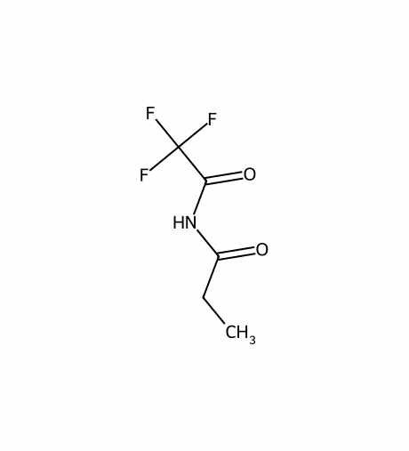 CCC(=O)NC(=O)C(F)(F)F